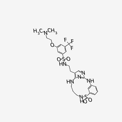 CN(C)CCOc1cc(C(F)(F)F)cc(S(=O)(=O)NCCc2cnc3nc2NCCCNS(=O)(=O)c2cccc(c2)N3)c1